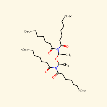 CCCCCCCCCCCCCCCC(=O)N(C(=O)CCCCCCCCCCCCCCC)C(C)OC(C)N(C(=O)CCCCCCCCCCCCCCC)C(=O)CCCCCCCCCCCCCCC